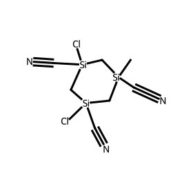 C[Si]1(C#N)C[Si](Cl)(C#N)C[Si](Cl)(C#N)C1